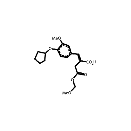 COCOC(=O)C/C(=C\c1ccc(OC2CCCC2)c(OC)c1)C(=O)O